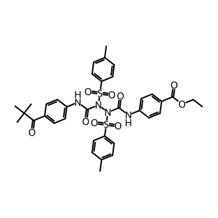 CCOC(=O)c1ccc(NC(=O)N(N(C(=O)Nc2ccc(C(=O)C(C)(C)C)cc2)S(=O)(=O)c2ccc(C)cc2)S(=O)(=O)c2ccc(C)cc2)cc1